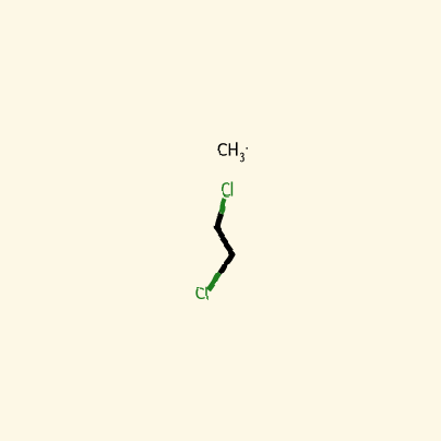 ClCCCl.[CH3]